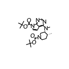 C[C@@H]1CCN(C(=O)OC(C)(C)C)C[C@@H]1N(C)c1ncnc2c1ccn2C(=O)OC(C)(C)C